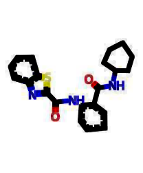 O=C(Nc1ccccc1C(=O)NC1CCCCC1)c1nc2ccccc2s1